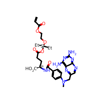 C=CC(=O)OCCO[Si](CC)(CC)OC(=O)CC[C@@H](NC(=O)c1ccc(N(C)Cc2cnc3nc(N)nc(N)c3n2)cc1)C(=O)O